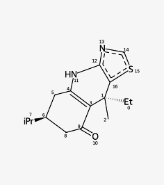 CC[C@]1(C)C2=C(C[C@H](C(C)C)CC2=O)Nc2ncsc21